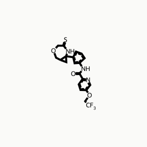 O=C(Nc1cccc(C23CC2COCC(=S)N3)c1)c1ccc(OCC(F)(F)F)cn1